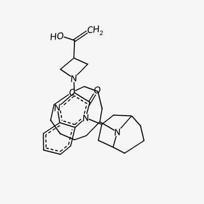 C=C(O)C1CN(c2nc3ccccc3n(C3CC4CCCC(C3)N4C3CCCCCCCCC3)c2=O)C1